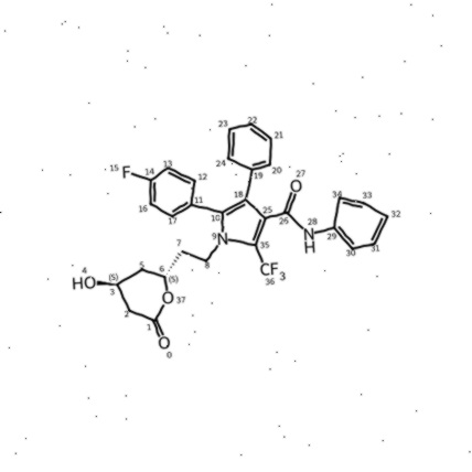 O=C1C[C@@H](O)C[C@H](CCn2c(-c3ccc(F)cc3)c(-c3ccccc3)c(C(=O)Nc3ccccc3)c2C(F)(F)F)O1